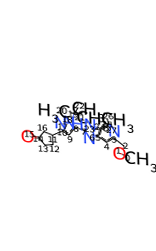 COCc1cc2nc(-c3cc(C4CCC(=O)C4)nn3C(C)(C)C)[nH]c2c(C)n1